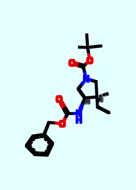 CC[C@]1(C)CN(C(=O)OC(C)(C)C)C[C@@H]1NC(=O)OCc1ccccc1